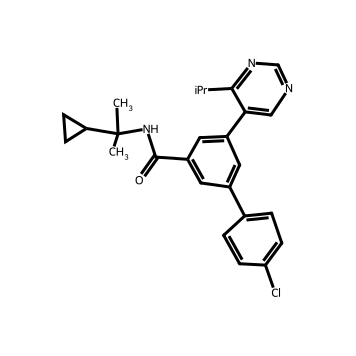 CC(C)c1ncncc1-c1cc(C(=O)NC(C)(C)C2CC2)cc(-c2ccc(Cl)cc2)c1